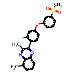 Cc1nc2c(C(F)(F)F)cccc2nc1-c1ccc(Oc2cccc(S(C)(=O)=O)c2)cc1F